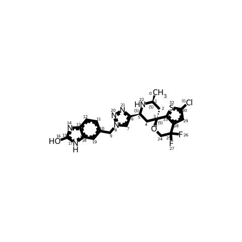 C[C@H]1C[C@@]2(C[C@@H](c3cn(Cc4ccc5nc(O)[nH]c5c4)nn3)N1)OCC(F)(F)c1cc(Cl)sc12